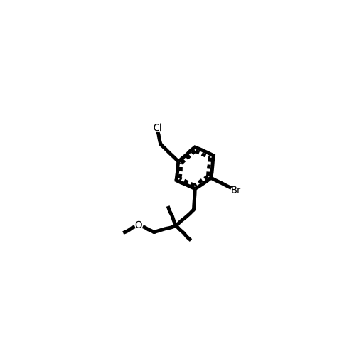 COCC(C)(C)Cc1cc(CCl)ccc1Br